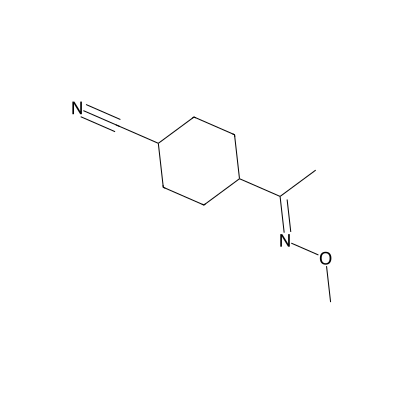 CO/N=C(\C)C1CCC(C#N)CC1